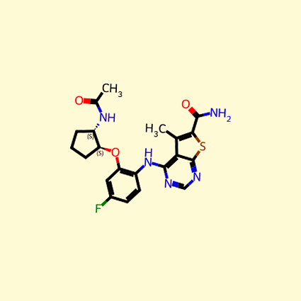 CC(=O)N[C@H]1CCC[C@@H]1Oc1cc(F)ccc1Nc1ncnc2sc(C(N)=O)c(C)c12